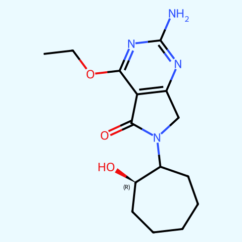 CCOc1nc(N)nc2c1C(=O)N(C1CCCCC[C@H]1O)C2